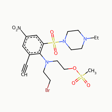 C#Cc1cc([N+](=O)[O-])cc(S(=O)(=O)N2CCN(CC)CC2)c1N(CCBr)CCOS(C)(=O)=O